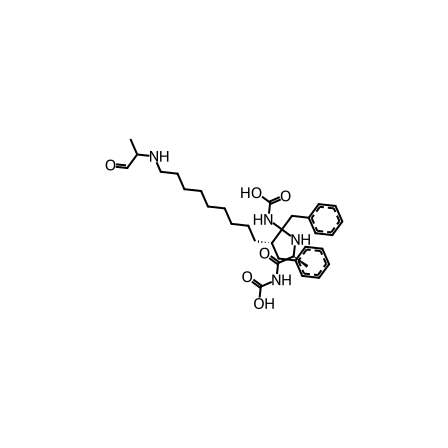 CC(C=O)NCCCCCCCCC[C@@H](Cc1ccccc1)C(Cc1ccccc1)(NC(=O)O)N[C@@H](C)C(=O)NC(=O)O